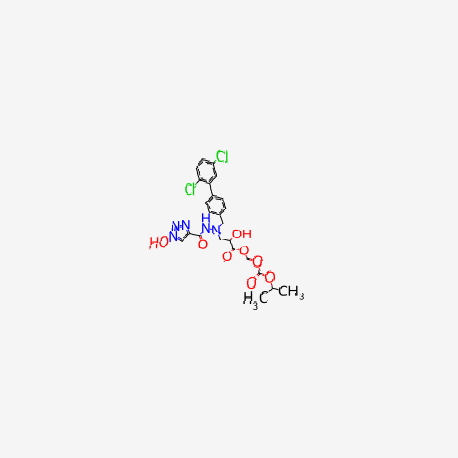 CC(C)OC(=O)OCOC(=O)C(O)CN(Cc1ccc(-c2cc(Cl)ccc2Cl)cc1)NC(=O)c1cn(O)nn1